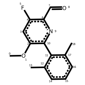 COc1cc(F)c(C=O)nc1-c1c(C)cccc1C